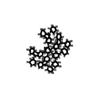 c1ccc(-c2cc(-c3ccccc3)nc(-c3c(-c4ccc5c(c4)c4ccccc4n5-c4ccccc4)c(-c4ccc5c(c4)c4ccccc4n5-c4ccccc4)nc(-c4ccc5c(c4)c4ccccc4n5-c4ccccc4)c3-c3ccc4c(c3)c3ccccc3n4-c3ccccc3)n2)cc1